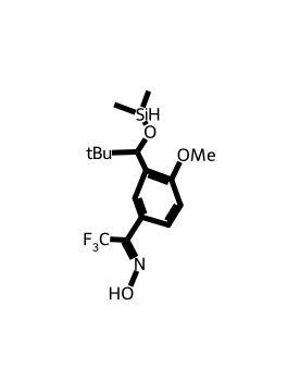 COc1ccc(/C(=N/O)C(F)(F)F)cc1C(O[SiH](C)C)C(C)(C)C